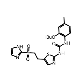 Cc1ccc(NC(=O)Nc2ncc(CCS(=O)(=O)c3ncc[nH]3)s2)c(OCC(C)C)c1